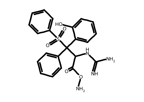 N=C(N)NC(C(=O)ON)C(c1ccccc1)(c1ccccc1O)S(=O)(=O)c1ccccc1